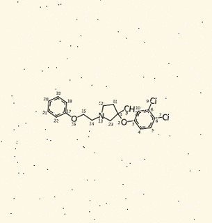 CC1(Oc2ccc(Cl)c(Cl)c2)CCN(CCOc2ccccc2)C1